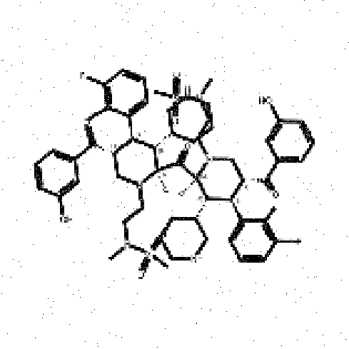 Cc1c(F)cccc1[C@@H]1[C@@H](C(=O)c2cccc(O)c2)CN(CCN(C)S(C)(=O)=O)[C@](C)(C(=O)[C@]2(C)[C@@H](C3CCCNC3)[C@H](c3cccc(F)c3C)[C@@H](C(=O)c3cccc(O)c3)CN2CCN(C)S(C)(=O)=O)[C@H]1C1CCCNC1